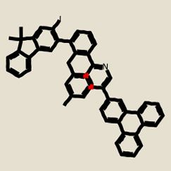 Cc1cccc(Cc2c(-c3ccc(-c4ccc5c6ccccc6c6ccccc6c5c4)cn3)cccc2-c2cc3c(cc2I)C(C)(C)c2ccccc2-3)c1